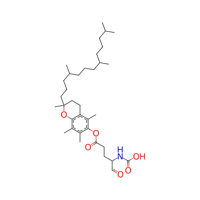 Cc1c(C)c2c(c(C)c1OC(=O)CCC(C=O)NC(=O)O)CCC(C)(CCCC(C)CCCC(C)CCCC(C)C)O2